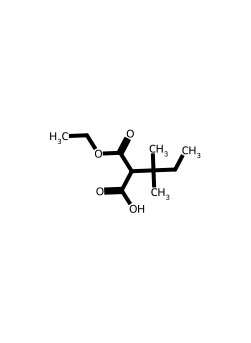 CCOC(=O)C(C(=O)O)C(C)(C)CC